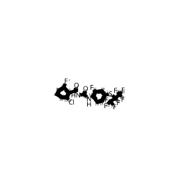 O=C(NC(=O)c1c(F)cccc1Cl)Nc1ccc(SC(F)(C(F)(F)F)C(F)(F)F)cc1F